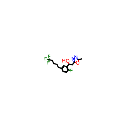 Cc1nnc(CC(O)c2cc(CCCCC(F)(F)F)ccc2F)o1